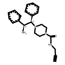 C#CCNC(=S)N1CCN([C@H](c2ccccc2)[C@@H](N)c2ccccc2)CC1